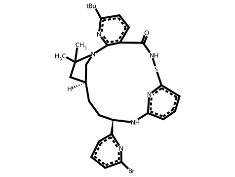 CC(C)(C)c1ccc2c(n1)N1C[C@@H](CC[C@H](c3cccc(Br)n3)Nc3cccc(n3)SNC2=O)CC1(C)C